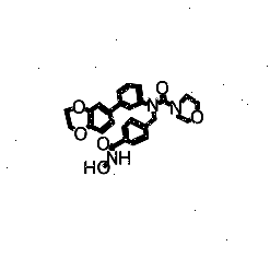 O=C(NO)c1ccc(CN(C(=O)N2CCOCC2)c2cccc(-c3ccc4c(c3)OCCO4)c2)cc1